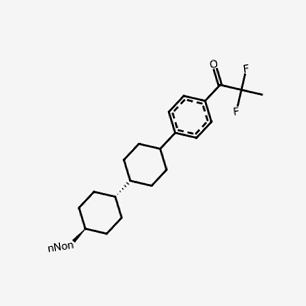 CCCCCCCCC[C@H]1CC[C@H](C2CCC(c3ccc(C(=O)C(C)(F)F)cc3)CC2)CC1